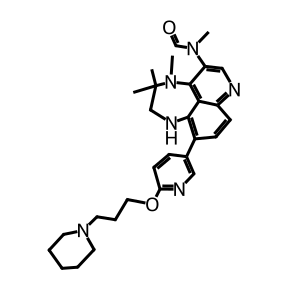 CN(C=O)c1cnc2ccc(-c3ccc(OCCCN4CCCCC4)nc3)c3c2c1N(C)C(C)(C)CN3